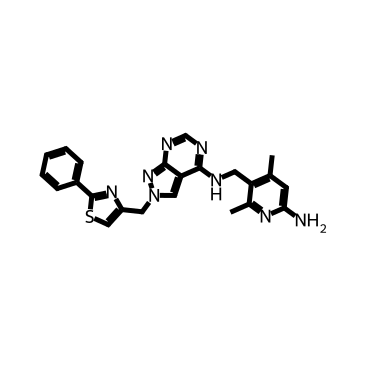 Cc1cc(N)nc(C)c1CNc1ncnc2nn(Cc3csc(-c4ccccc4)n3)cc12